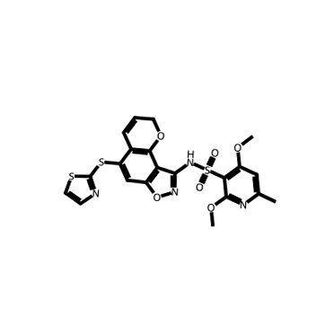 COc1cc(C)nc(OC)c1S(=O)(=O)Nc1noc2cc(Sc3nccs3)c3c(c12)OCC=C3